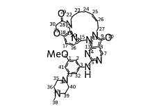 COc1cc(Nc2ncc3c(=O)n4n(c3n2)-c2ccc3c(n2)N(CCC/C=C\C4)C(=O)CO3)cc(N2CCN(C)CC2)c1